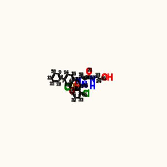 CS(=O)(=O)C1(Cl)CC(c2ccccc2)=CC=C1n1cc(C(=O)NCCO)nc1-c1c(Cl)cccc1Cl